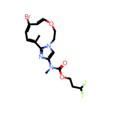 C\C1=C/C=C(Br)\C=C\OCCn2cc(N(C)C(=O)OCCC(F)F)nc21